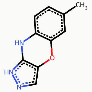 Cc1ccc2c(c1)Oc1cn[nH]c1N2